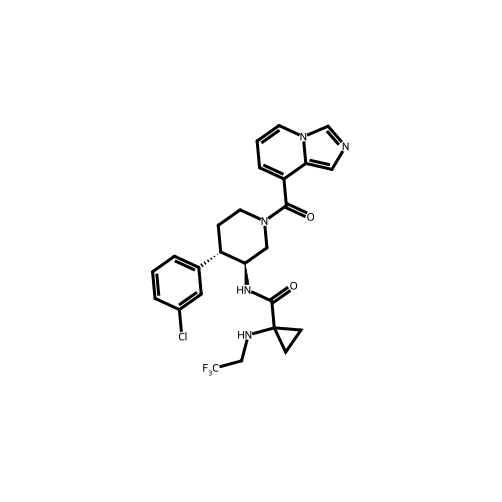 O=C(c1cccn2cncc12)N1CC[C@@H](c2cccc(Cl)c2)[C@H](NC(=O)C2(NCC(F)(F)F)CC2)C1